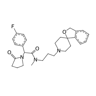 CN(CCCN1CCC2(CC1)OCc1ccccc12)C(=O)C(c1ccc(F)cc1)N1CCCC1=O